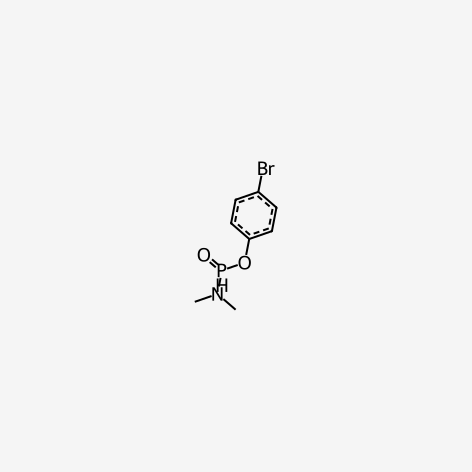 CN(C)[PH](=O)Oc1ccc(Br)cc1